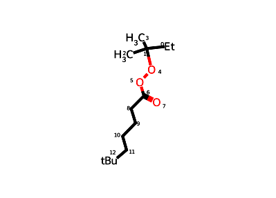 CCC(C)(C)OOC(=O)CCCCC(C)(C)C